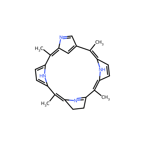 Cc1c2cc(c(C)c3ccc([nH]3)c(C)c3nc(c(C)c4ccc1[nH]4)CC3)N=C2